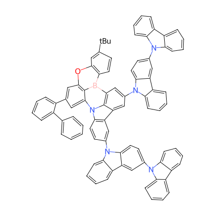 CC(C)(C)c1ccc2c(c1)Oc1cc(-c3ccccc3-c3ccccc3)cc3c1B2c1cc(-n2c4ccccc4c4cc(-n5c6ccccc6c6ccccc65)ccc42)cc2c4cc(-n5c6ccccc6c6cc(-n7c8ccccc8c8ccccc87)ccc65)ccc4n-3c12